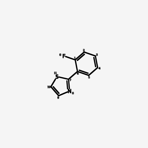 Fc1ccccc1-c1nccs1